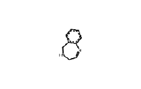 C1=Nc2ccccc2CNC1